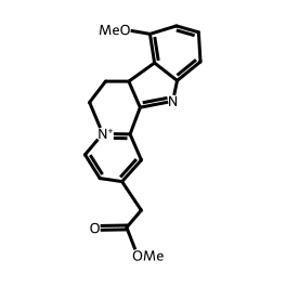 COC(=O)Cc1cc[n+]2c(c1)C1=Nc3cccc(OC)c3C1CC2